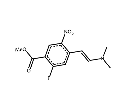 COC(=O)c1cc([N+](=O)[O-])c(C=CN(C)C)cc1F